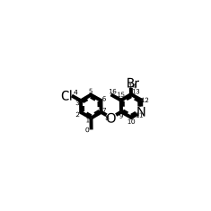 Cc1cc(Cl)ccc1Oc1cncc(Br)c1C